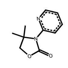 CC1(C)COC(=O)N1c1ccccn1